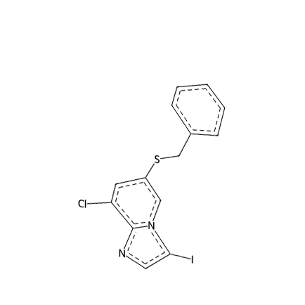 Clc1cc(SCc2ccccc2)cn2c(I)cnc12